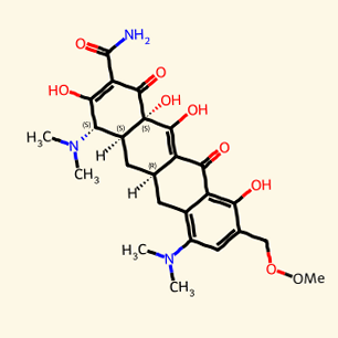 COOCc1cc(N(C)C)c2c(c1O)C(=O)C1=C(O)[C@]3(O)C(=O)C(C(N)=O)=C(O)[C@@H](N(C)C)[C@@H]3C[C@@H]1C2